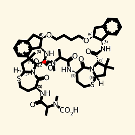 CC(C(=O)N[C@H]1CCS[C@H]2CC(C)(C)[C@@H](C(=O)N[C@H]3c4ccccc4C[C@H]3OCCCCO[C@@H]3Cc4ccccc4[C@@H]3NC(=O)[C@H]3N4C(=O)[C@@H](NC(=O)C(C)N(C)C(=O)O)CCS[C@H]4CC3(C)C)N2C1=O)N(C)C(=O)O